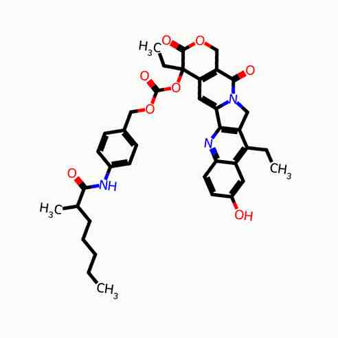 CCCCCC(C)C(=O)Nc1ccc(COC(=O)OC2(CC)C(=O)OCc3c2cc2n(c3=O)Cc3c-2nc2ccc(O)cc2c3CC)cc1